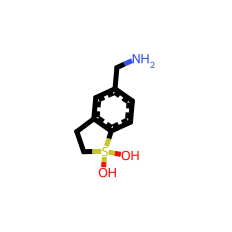 NCc1ccc2c(c1)CCS2(O)O